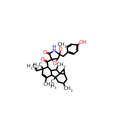 C=CC1(C)C=C(C)C2C(C1C(=O)C13OC1C(Cc1ccc(O)cc1)(OC)NC3=O)C(C)C13CC1CC(C)CC23C